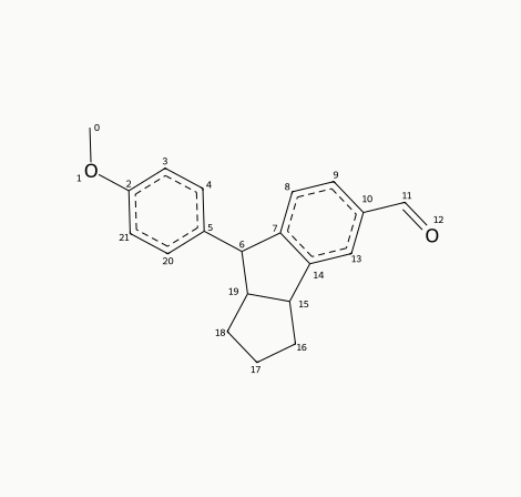 COc1ccc(C2c3ccc(C=O)cc3C3CCCC32)cc1